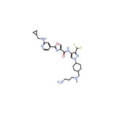 CN(CCCN)CC1CCC(n2cc(NC(=O)c3coc(-c4ccnc(NCC5CC5)c4)n3)c(C(F)F)n2)CC1